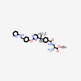 CCCCOC(=O)C(N)CNC(=O)c1ccc(C(CC(=O)O)(c2ccnc(Oc3ccc(CNc4ccccn4)cc3)n2)C(C)(C)C)cc1